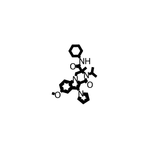 COc1ccc2c(c1)c(-n1cccc1)c1n2CC(C)(C(=O)NC2CCCCC2)N(C(C)C)C1=O